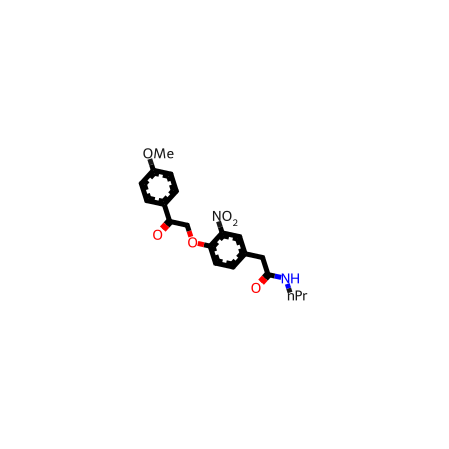 CCCNC(=O)Cc1ccc(OCC(=O)c2ccc(OC)cc2)c([N+](=O)[O-])c1